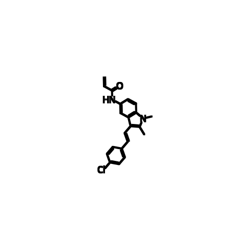 C=CC(=O)Nc1ccc2c(c1)c(C=Cc1ccc(Cl)cc1)c(C)n2C